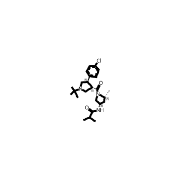 CC(C)C(=O)N[C@H]1C[C@@H](C)N(C(=O)[C@@H]2CN(C(C)(C)C)C[C@H]2c2ccc(Cl)cc2)C1